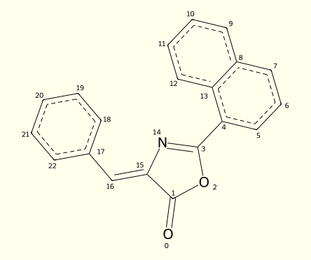 O=C1OC(c2cccc3ccccc23)=NC1=Cc1ccccc1